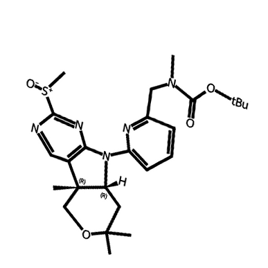 CN(Cc1cccc(N2c3nc([S+](C)[O-])ncc3[C@@]3(C)COC(C)(C)C[C@@H]23)n1)C(=O)OC(C)(C)C